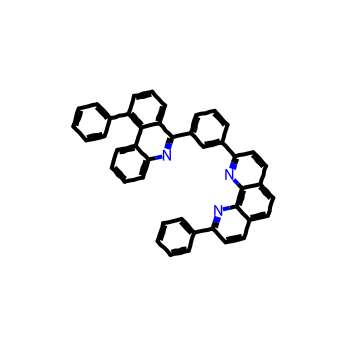 c1ccc(-c2ccc3ccc4ccc(-c5cccc(-c6nc7ccccc7c7c(-c8ccccc8)cccc67)c5)nc4c3n2)cc1